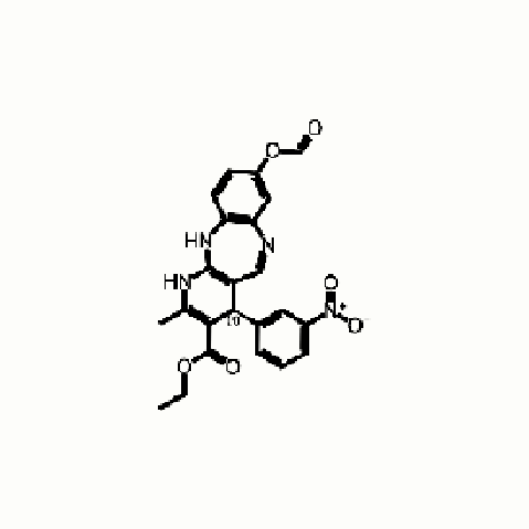 CCOC(=O)C1=C(C)NC2=C(C=Nc3cc(OC=O)ccc3N2)[C@H]1c1cccc([N+](=O)[O-])c1